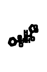 O=C(NNS(=O)(=O)c1ccccc1)C1=CCOO1